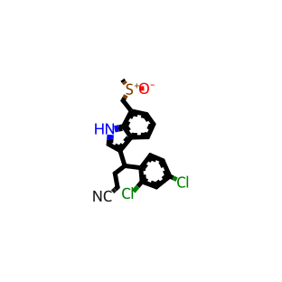 C[S+]([O-])Cc1cccc2c(C(CCC#N)c3ccc(Cl)cc3Cl)c[nH]c12